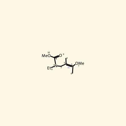 CCN(C/C(C)=C(\C)OC)C(=O)OC